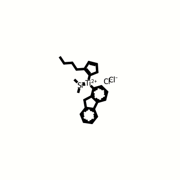 CCCCC1=[C]([Ti+2]([c]2cccc3c2Cc2ccccc2-3)=[Si](C)C)CC=C1.[Cl-].[Cl-]